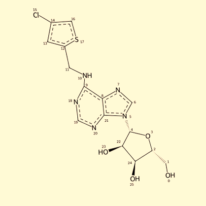 OC[C@H]1O[C@@H](n2cnc3c(NCc4cc(Cl)cs4)ncnc32)[C@H](O)[C@@H]1O